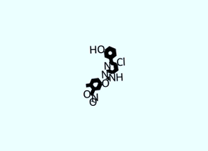 CC1C=CC(OC2=NC3N=C(c4cccc(O)c4)C(Cl)=CC3N2)=CC1C(=O)N=O